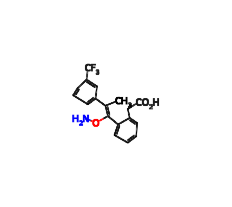 CC(=C(ON)c1ccccc1CC(=O)O)c1cccc(C(F)(F)F)c1